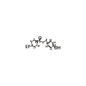 CCC1CCN(C(=O)[CH]Cc2ccc(O)cc2)CC1